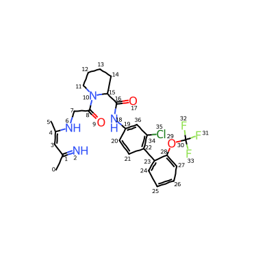 CC(=N)/C=C(/C)NCC(=O)N1CCCCC1C(=O)Nc1ccc(-c2ccccc2OC(F)(F)F)c(Cl)c1